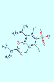 C=C(C)c1c(F)c(S(=O)(=O)O)c(F)c(F)c1OC(=O)C(C)C